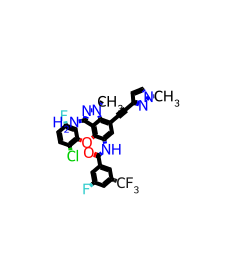 Cn1ccc(C#Cc2cc(NC(=O)c3cc(F)cc(C(F)(F)F)c3)c(Oc3cc(F)ccc3Cl)c3c(N)nn(C)c23)n1